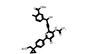 COC(=O)c1cc(C(O)C#Cc2nc(-c3ccc(C4(COC(C)=O)CC4)cc3)c(Cl)cc2NC(=O)C(F)(F)F)ccc1C